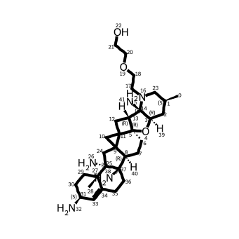 C[C@H]1C[C@H]2O[C@@]34CC[C@@H]5C6(CC63C[C@@H]4[C@]2(N)N(CCOCCO)C1)C[C@]1(N)[C@@]2(C)CC[C@H](N)C=C2CC[C@@]51N